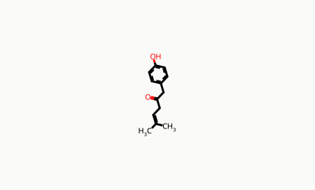 CC(C)=CCC(=O)Cc1ccc(O)cc1